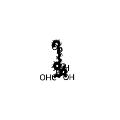 O=CC=CC1C(O)C[C@H]2Oc3c(CCCCOC4CCCCO4)cccc3[C@@H]12